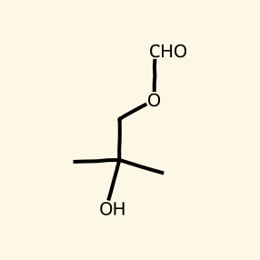 CC(C)(O)COC=O